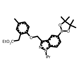 CCOC(=O)Cc1cc(C)ccc1OCc1nn(C(C)C)c2ccc(B3OC(C)(C)C(C)(C)O3)cc12